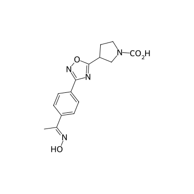 CC(=NO)c1ccc(-c2noc(C3CCN(C(=O)O)C3)n2)cc1